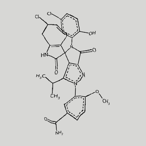 COc1ccc(C(N)=O)cc1-n1nc2c(c1C(C)C)C1(C(=O)NC3=C1C=CC(Cl)C3)N(c1cc(Cl)ccc1O)C2=O